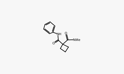 CNC(=O)C1(C(=O)Nc2ccccc2)CCC1